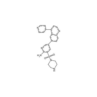 Nc1ncc(-c2ccc3nccc(-c4ccncc4)c3c2)cc1S(=O)(=O)N1CCNCC1